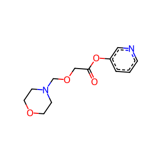 O=C(COCN1CCOCC1)Oc1cccnc1